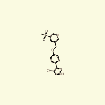 CS(=O)(=O)c1cncc(COc2ccc(-c3n[nH]cc3Cl)nc2)c1